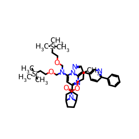 CCCCOC(=O)N1C2CCC1CC(c1cc(N(COCC[Si](C)(C)C)COCC[Si](C)(C)C)n3ncc(-c4ccc(-c5ccccc5)nc4)c3n1)C2